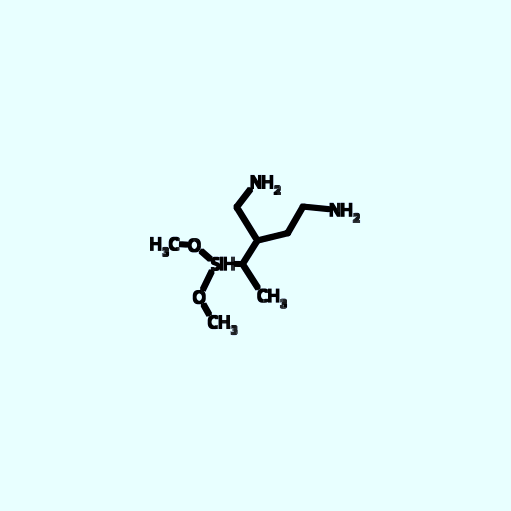 CO[SiH](OC)C(C)C(CN)CCN